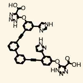 O=C(O)c1nn[nH]c1Oc1cc(C#Cc2cccc(-c3cccc(C#Cc4ccc(Oc5[nH]nnc5C(=O)O)cc4-c4cc[nH]n4)c3)c2)cc(-c2c[nH]cn2)c1